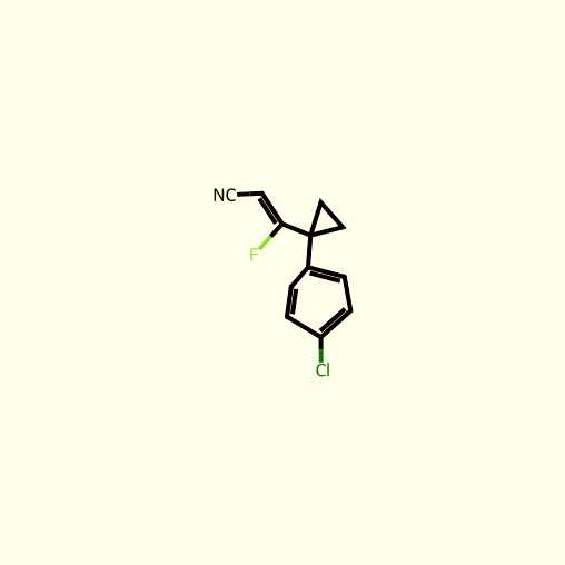 N#C/C=C(\F)C1(c2ccc(Cl)cc2)CC1